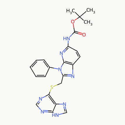 CC(C)(C)OC(=O)Nc1ccc2nc(CSc3ncnc4[nH]cnc34)n(-c3ccccc3)c2n1